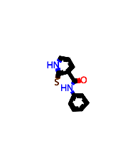 O=C(Nc1ccccc1)c1ccc[nH]c1=S